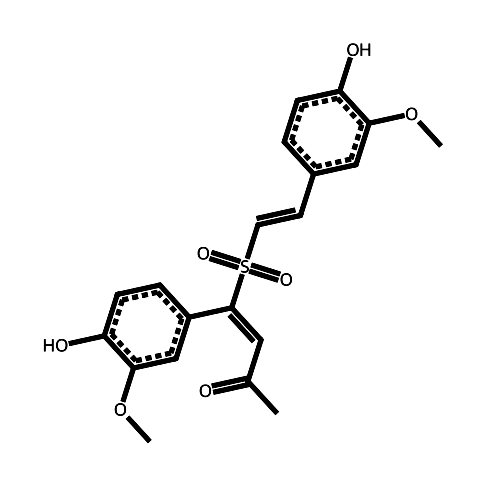 COc1cc(C=CS(=O)(=O)C(=CC(C)=O)c2ccc(O)c(OC)c2)ccc1O